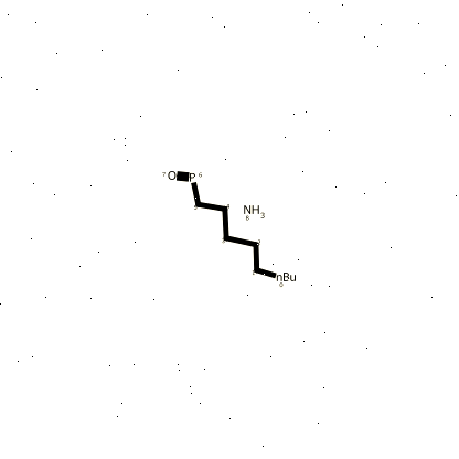 CCCCCCCCCP=O.N